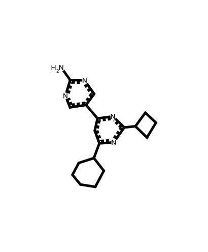 Nc1ncc(-c2cc(C3CCCCC3)nc(C3CCC3)n2)cn1